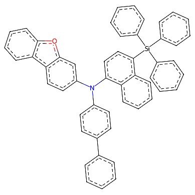 c1ccc(-c2ccc(N(c3ccc4c(c3)oc3ccccc34)c3ccc([Si](c4ccccc4)(c4ccccc4)c4ccccc4)c4ccccc34)cc2)cc1